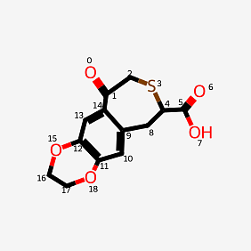 O=C1CSC(C(=O)O)Cc2cc3c(cc21)OCCO3